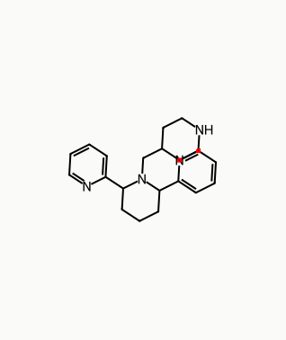 c1ccc(C2CCCC(c3ccccn3)N2CC2CCNCC2)nc1